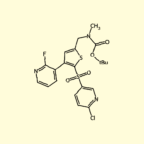 CN(Cc1cc(-c2cccnc2F)c(S(=O)(=O)c2ccc(Cl)nc2)s1)C(=O)OC(C)(C)C